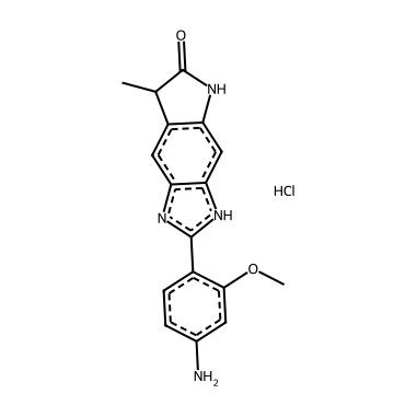 COc1cc(N)ccc1-c1nc2cc3c(cc2[nH]1)NC(=O)C3C.Cl